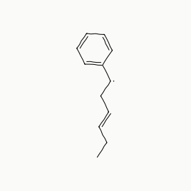 CC/C=C/C[CH]c1ccccc1